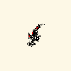 COc1ccc(CN(c2nn(C)c3c(-n4c([C@H](Cc5cc(F)cc(F)c5)NC(=O)Cn5nc(C(F)F)c6c5C(F)(F)[C@@H]5C[C@H]65)nc5cccc(Br)c5c4=O)ccc(Cl)c23)S(C)(=O)=O)cc1